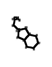 CCN1CC2CCCCC2C1